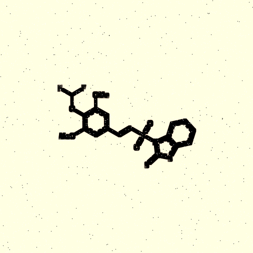 COc1cc(/C=C/S(=O)(=O)n2c(=S)sc3ccccc32)cc(OC)c1OC(F)F